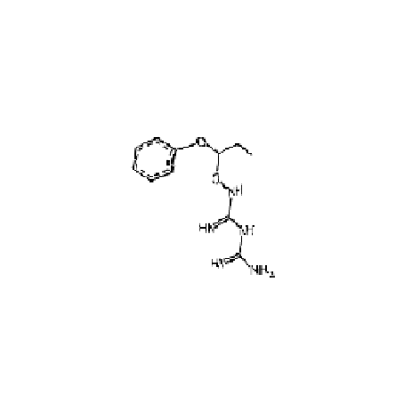 CCC(ONC(=N)NC(=N)N)Oc1ccccc1